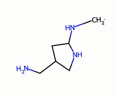 [CH2]NC1CC(CN)CN1